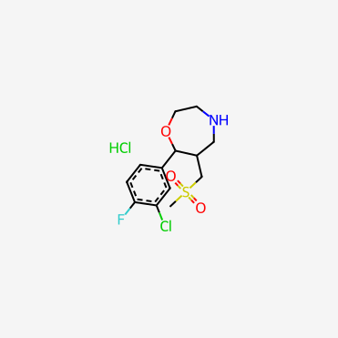 CS(=O)(=O)CC1CNCCOC1c1ccc(F)c(Cl)c1.Cl